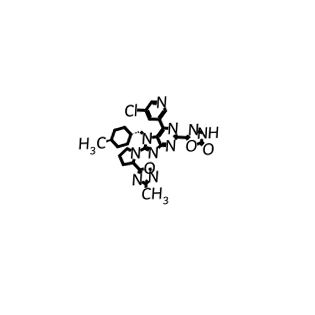 Cc1noc(C2CCCN2c2nc3nc(-c4n[nH]c(=O)o4)nc(-c4cncc(Cl)c4)c3n2C[C@H]2CC[C@H](C)CC2)n1